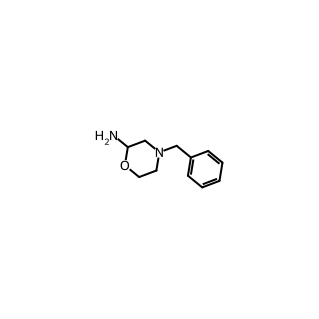 NC1CN(Cc2ccccc2)CCO1